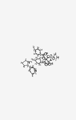 CN1CCCC1c1cccnc1.Cc1ccc(C(=O)OC(C(=O)O)(C(=O)c2ccc(C)cc2)C(O)C(=O)O)cc1